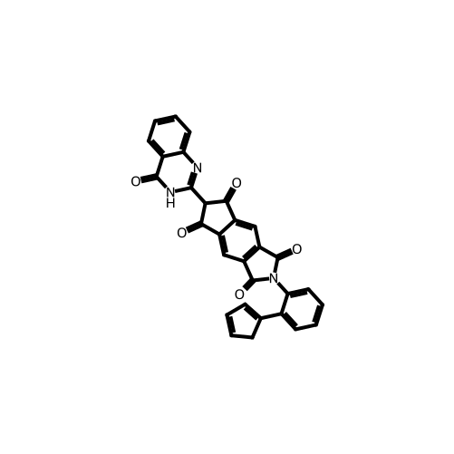 O=C1c2cc3c(cc2C(=O)C1c1nc2ccccc2c(=O)[nH]1)C(=O)N(c1ccccc1C1=CC=CC1)C3=O